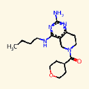 CCCCNc1nc(N)nc2c1CN(C(=O)C1CCOCC1)CC2